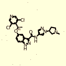 C[C@@H](Oc1ccc2[nH]nc(C(=O)Nc3cnn(C4CCN(C)C4)c3)c2c1)c1c(Cl)cncc1Cl